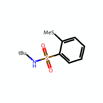 CSc1ccccc1S(=O)(=O)NC(C)(C)C